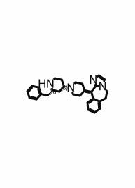 c1ccc(C[C@@H]2C[C@@H](N3CCC(=C4c5ccccc5CCn5ccnc54)CC3)CCN2)cc1